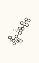 CC1(C)c2cc(-c3ccc4c(c3)C(C)(C)c3c-4c4c5ccccc5sc4c4ccccc34)ccc2-c2ccc(-c3c4ccccc4c(-c4cccc5ccccc45)c4ccccc34)cc21